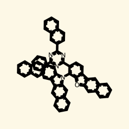 c1ccc2cc(-c3nc(-c4ccc5ccccc5c4)nc(-c4ccc5c(oc6cc7ccccc7cc65)c4-n4c5cc6ccccc6cc5c5cc6ccccc6cc54)n3)ccc2c1